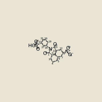 O=C1c2cccc3cc([N+](=O)[O-])cc(c23)C(=O)N1c1cccc(S(=O)(=O)O)c1